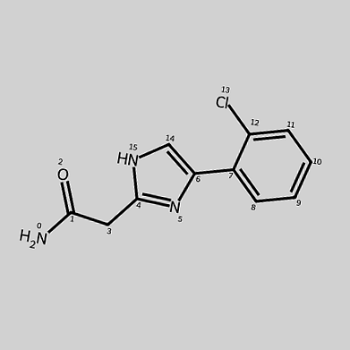 NC(=O)Cc1nc(-c2ccccc2Cl)c[nH]1